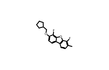 Cc1ccc2c(oc3c(F)c(OCC4CCCC4)ccc32)c1F